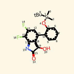 CC(C)(C)[Si](C)(C)Oc1ccccc1-c1cc(F)c(F)c2c1=C(O)C(=O)N=2